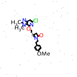 COc1ccc(CCN2C[C@H](CCOc3nc(Cl)cc4nc(C)n(C)c34)CC2=O)cc1